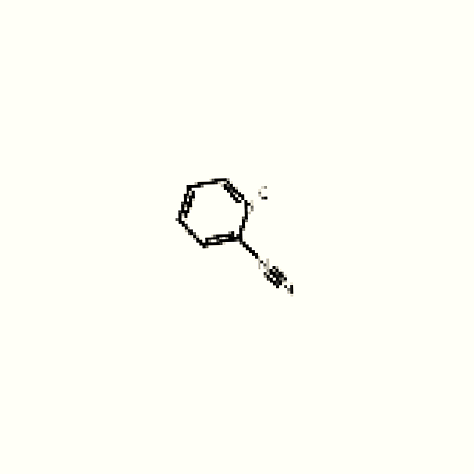 N#[N+]c1ccccn1.[Cl-]